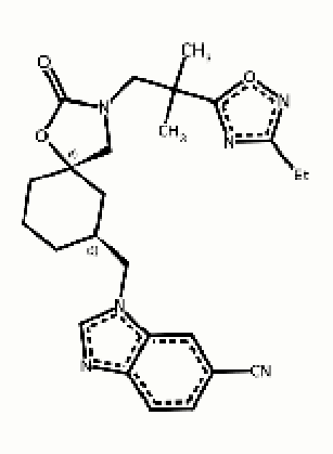 CCc1noc(C(C)(C)CN2C[C@@]3(CCC[C@H](Cn4cnc5ccc(C#N)cc54)C3)OC2=O)n1